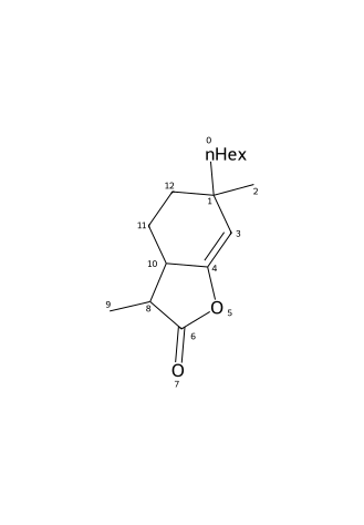 CCCCCCC1(C)C=C2OC(=O)C(C)C2CC1